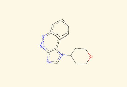 c1ccc2c(c1)nnc1ncn(C3CCOCC3)c12